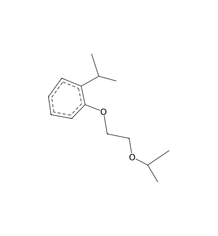 CC(C)OCCOc1ccccc1C(C)C